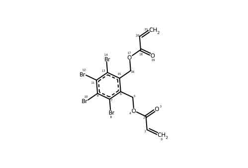 C=CC(=O)OCc1c(Br)c(Br)c(Br)c(Br)c1COC(=O)C=C